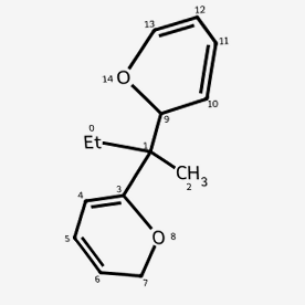 CCC(C)(C1=CC=CCO1)C1C=CC=CO1